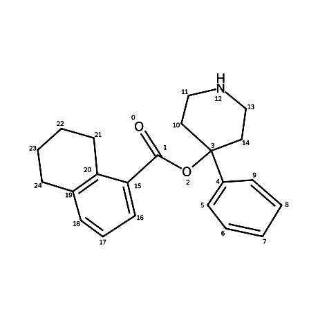 O=C(OC1(c2ccccc2)CCNCC1)c1cccc2c1CCCC2